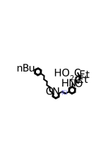 CCCCc1ccc(CCCCCOc2cccc(/C=C/c3cccc(NC(=O)CC(CC)(CC)C(=O)O)c3)n2)cc1